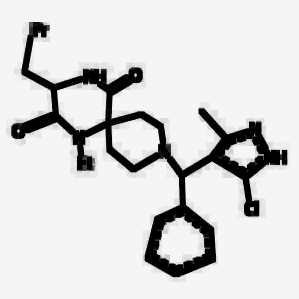 CCN1C(=O)C(CC(C)C)NC(=O)C12CCN(C(c1ccccc1)c1c(C)n[nH]c1Cl)CC2